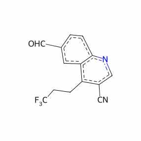 N#Cc1cnc2ccc(C=O)cc2c1CCC(F)(F)F